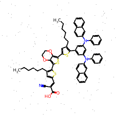 CCCCCCc1cc(-c2sc(-c3sc(/C=C(\C#N)C(=O)O)cc3CCCCCC)c3c2OCCO3)sc1-c1cc(N(c2ccccc2)c2ccc3ccccc3c2)cc(N(c2ccccc2)c2ccc3ccccc3c2)c1